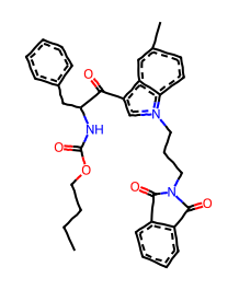 CCCCOC(=O)NC(Cc1ccccc1)C(=O)c1cn(CCCN2C(=O)c3ccccc3C2=O)c2ccc(C)cc12